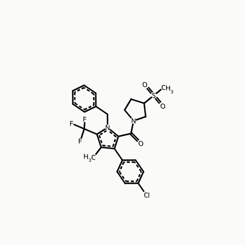 Cc1c(-c2ccc(Cl)cc2)c(C(=O)N2CCC(S(C)(=O)=O)C2)n(Cc2ccccc2)c1C(F)(F)F